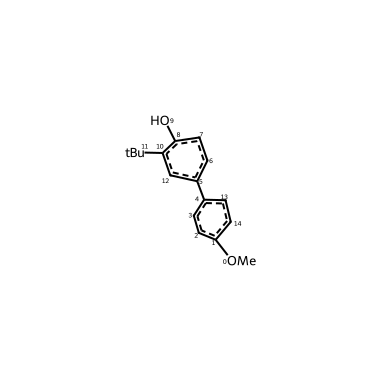 COc1ccc(-c2ccc(O)c(C(C)(C)C)c2)cc1